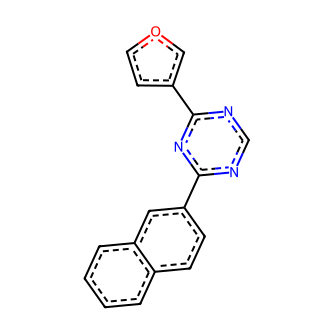 c1ccc2cc(-c3ncnc(-c4ccoc4)n3)ccc2c1